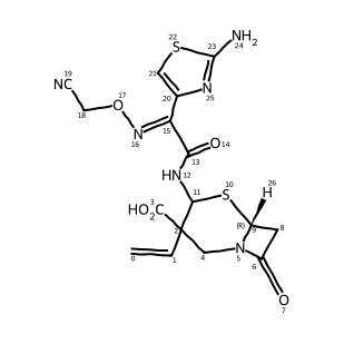 C=CC1(C(=O)O)CN2C(=O)C[C@H]2SC1NC(=O)C(=NOCC#N)c1csc(N)n1